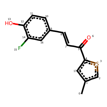 Cc1csc(C(=O)C=Cc2ccc(O)c(F)c2)c1